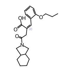 CCCOc1ccccc1/C=C(/CC(=O)N1CC2CCCCC2C1)C(=O)O